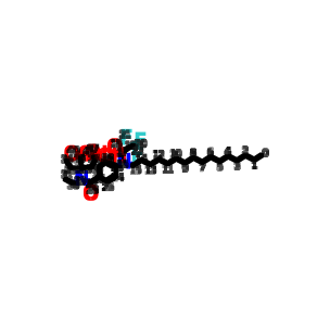 CCCCCCCCCCCCCCCCN(C(=O)C(F)(F)F)c1ccc(C(=O)N(CC)[C@@](CC)(CC(=O)O)C(=O)O)cc1